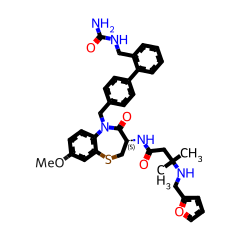 COc1ccc2c(c1)SC[C@@H](NC(=O)CC(C)(C)NCc1ccco1)C(=O)N2Cc1ccc(-c2ccccc2CNC(N)=O)cc1